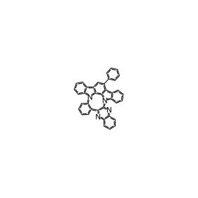 c1ccc(-c2cc3c4ccccc4n4c5ccccc5c5nc6ccccc6nc5n5c6ccccc6c2c5c34)cc1